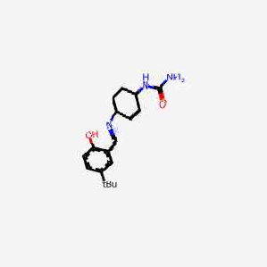 CC(C)(C)c1ccc(O)c(/C=N/C2CCC(NC(N)=O)CC2)c1